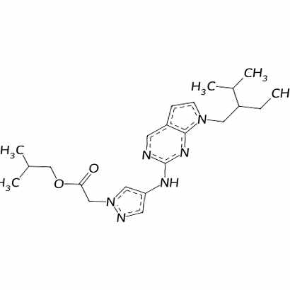 CCC(Cn1ccc2cnc(Nc3cnn(CC(=O)OCC(C)C)c3)nc21)C(C)C